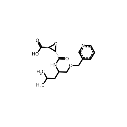 CC(C)CC(COCc1cccnc1)NC(=O)[C@H]1O[C@@H]1C(=O)O